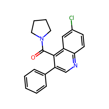 O=C(c1c(-c2ccccc2)cnc2ccc(Cl)cc12)N1CCCC1